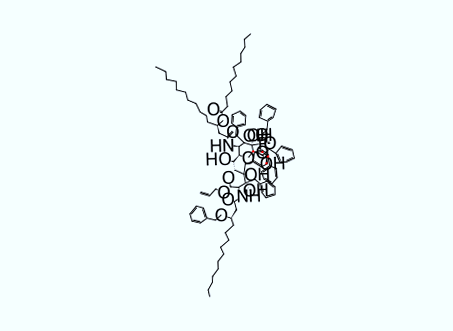 C=CCO[C@H]1O[C@H](C(O)[C@@H]2O[C@H](C(O)Cc3ccccc3)[C@](O)(P(=O)(OCc3ccccc3)OCc3ccccc3)[C@@](O)(Cc3ccccc3)[C@@H]2NC(=O)C[C@@H](CCCCCCCCCCC)OC(=O)CCCCCCCCCCC)[C@](O)(Cc2ccccc2)[C@@](O)(Cc2ccccc2)[C@@H]1NC(=O)C[C@@H](CCCCCCCCCCC)OCc1ccccc1